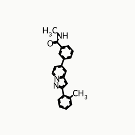 CNC(=O)c1cccc(-c2ccn3nc(-c4ccccc4C)cc3c2)c1